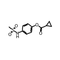 CS(=O)(=O)Nc1ccc(OC(=O)C2CC2)cc1